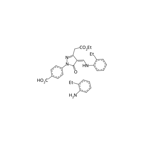 CCOC(=O)CC1=NN(c2ccc(C(=O)O)cc2)C(=O)C1=CNc1ccccc1CC.CCc1ccccc1N